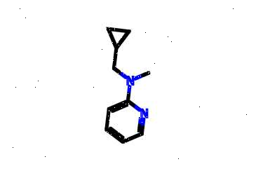 CN(CC1CC1)c1ccccn1